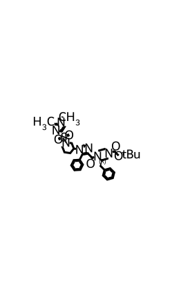 Cc1nc(S(=O)(=O)N2CCCC(n3cnc(C(=O)N4CCN(C(=O)OC(C)(C)C)C[C@H]4Cc4ccccc4)c3-c3ccccc3)C2)cn1C